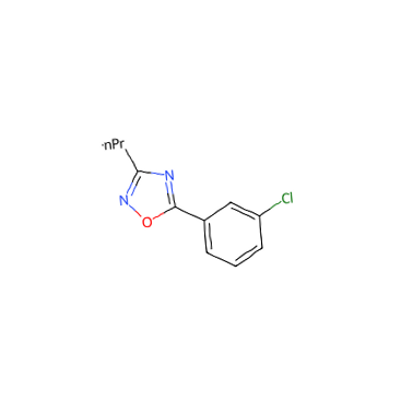 CC[CH]c1noc(-c2cccc(Cl)c2)n1